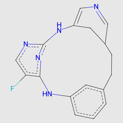 Fc1cnc2nc1Nc1cccc(c1)CCC1C=NC=C(C1)N2